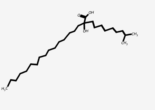 CCCCCCCCCCCCCCCCC(O)(CCCCCCCC(C)C)C(=O)O